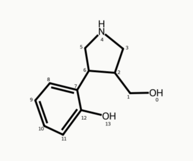 OCC1CNCC1c1ccccc1O